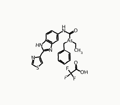 CC[As](Cc1ccccc1)C(=O)Nc1ccc2[nH]c(-c3cscn3)nc2c1.O=C(O)C(F)(F)F